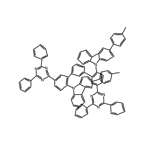 Cc1ccc(-c2ccc3c(c2)c2ccccc2n3-c2ccc(-c3nc(-c4ccccc4)nc(-c4ccccc4)n3)cc2-c2cccc(-c3cc(-c4nc(-c5ccccc5)nc(-c5ccccc5)n4)ccc3-n3c4ccccc4c4cc(-c5ccc(C)cc5)ccc43)c2)cc1